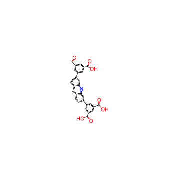 O=Cc1cc(C(=O)O)cc(-c2ccc3cc4ccc(-c5cc(C(=O)O)cc(C(=O)O)c5)cc4nc3c2)c1